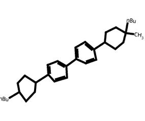 CCCCC1CCC(c2ccc(-c3ccc(C4CCC(C)(CCCC)CC4)cc3)cc2)CC1